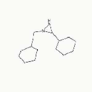 C1CCC(CN2NC2C2CCCCC2)CC1